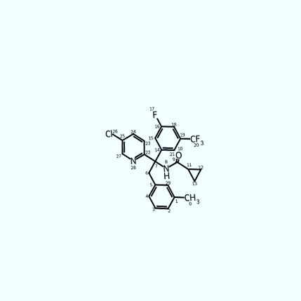 Cc1cccc(CC(NC(=O)C2CC2)(c2cc(F)cc(C(F)(F)F)c2)c2ccc(Cl)cn2)c1